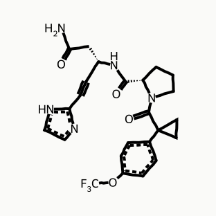 NC(=O)C[C@@H](C#Cc1ncc[nH]1)NC(=O)[C@@H]1CCCN1C(=O)C1(c2ccc(OC(F)(F)F)cc2)CC1